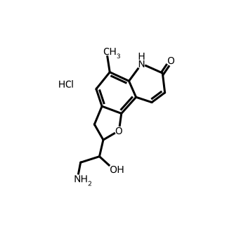 Cc1cc2c(c3ccc(=O)[nH]c13)OC(C(O)CN)C2.Cl